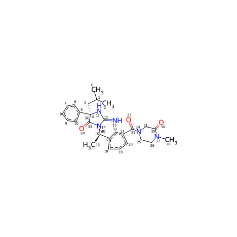 CC(C)C[C@]1(c2ccccc2)NC(=N)N([C@H](C)c2cccc(C(=O)N3CCN(C)C(=O)C3)c2)C1=O